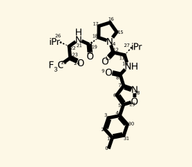 Cc1ccc(-c2cc(C(=O)N[C@H](C(=O)N3CCC[C@H]3C(=O)N[C@H](C(=O)C(F)(F)F)C(C)C)C(C)C)no2)cc1